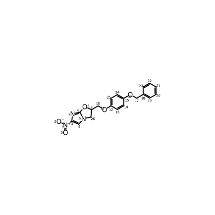 O=[N+]([O-])c1cn2c(n1)OC(COc1ccc(OCc3ccccc3)cc1)C2